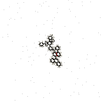 c1ccc(-c2nc3c(o2)c(-c2cccc(N(c4ccc(-c5cc6ccccc6c6ccccc56)cc4)c4ccccc4-c4ccccc4)c2)cc2oc4ccccc4c23)cc1